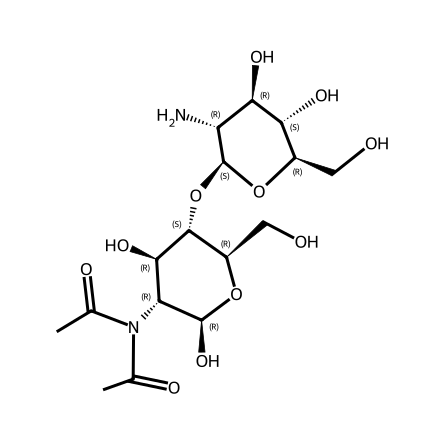 CC(=O)N(C(C)=O)[C@@H]1[C@@H](O)[C@H](O[C@@H]2O[C@H](CO)[C@@H](O)[C@H](O)[C@H]2N)[C@@H](CO)O[C@H]1O